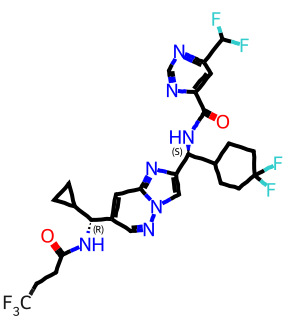 O=C(CCC(F)(F)F)N[C@@H](c1cnn2cc([C@@H](NC(=O)c3cc(C(F)F)ncn3)C3CCC(F)(F)CC3)nc2c1)C1CC1